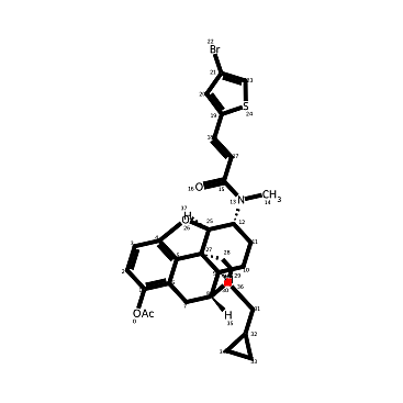 CC(=O)Oc1ccc2c3c1C[C@@H]1[C@@H]4CC[C@@H](N(C)C(=O)/C=C/c5cc(Br)cs5)[C@H](O2)[C@]34CCN1CC1CC1